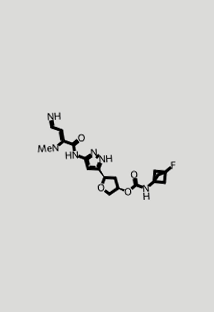 CN/C(=C\C=N)C(=O)Nc1cc([C@H]2C[C@@H](OC(=O)NC34CC(F)(C3)C4)CO2)[nH]n1